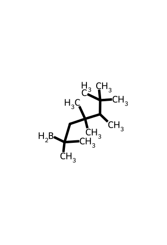 BC(C)(C)CC(C)(C)C(C)C(C)(C)C